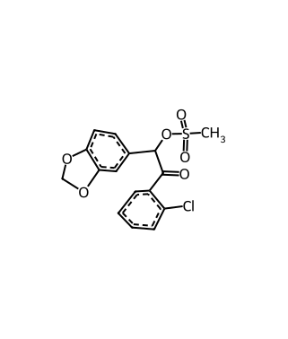 CS(=O)(=O)OC(C(=O)c1ccccc1Cl)c1ccc2c(c1)OCO2